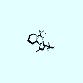 Cc1cc(C(F)(F)F)nn1C1CCCCN1C(N)=O